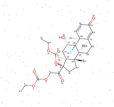 CCOC(=O)OCC(=O)[C@@]1(OC(=O)OCC)CC[C@H]2[C@@H]3CCC4=CC(=O)C=C[C@]4(C)[C@@]3(F)[C@@H](O)C[C@@]21C